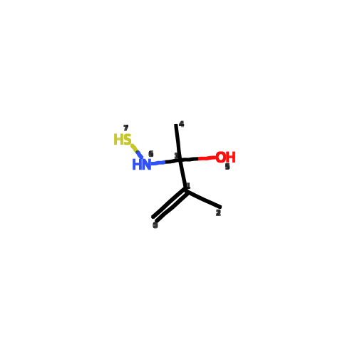 C=C(C)C(C)(O)NS